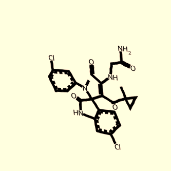 CN(c1cccc(Cl)c1)C1(/C(C(=O)C2(C)CC2)=C(\C=O)NCC(N)=O)C(=O)Nc2cc(Cl)ccc21